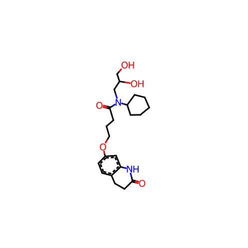 O=C1CCc2ccc(OCCCC(=O)N(CC(O)CO)C3CCCCC3)cc2N1